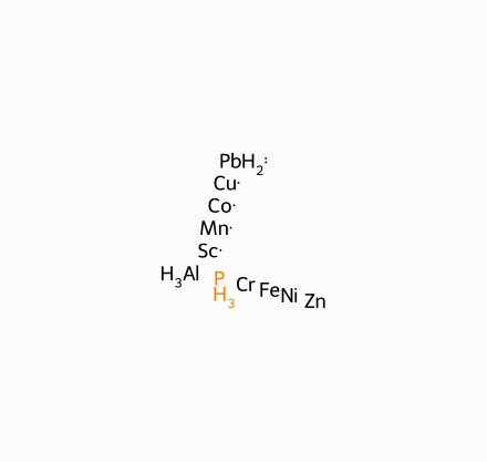 P.[AlH3].[Co].[Cr].[Cu].[Fe].[Mn].[Ni].[PbH2].[Sc].[Zn]